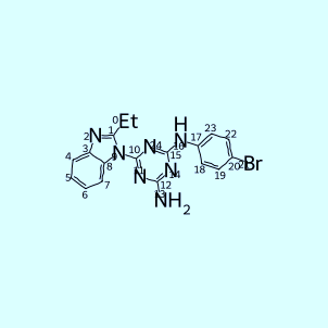 CCc1nc2ccccc2n1-c1nc(N)nc(Nc2ccc(Br)cc2)n1